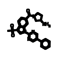 CS(=O)(=O)c1cn(-c2ncc(-c3ccccc3)cn2)c2cc(C(=O)N3CCC(N)C3)ccc12